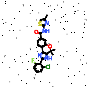 Cc1csc(NC(=O)c2ccc3c(c2)OC(C)(C)c2[nH]c(-c4c(F)cccc4Cl)nc2-3)n1